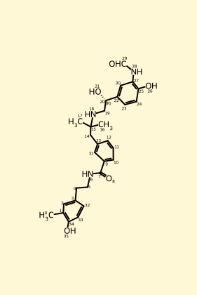 Cc1cc(CCNC(=O)c2cccc(CC(C)(C)NC[C@H](O)c3ccc(O)c(NC=O)c3)c2)ccc1O